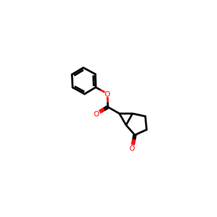 O=C1CCC2C1C2C(=O)Oc1ccccc1